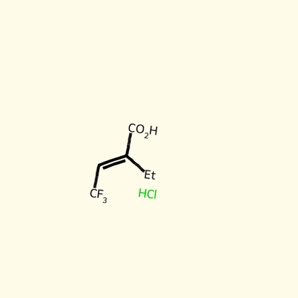 CC/C(=C\C(F)(F)F)C(=O)O.Cl